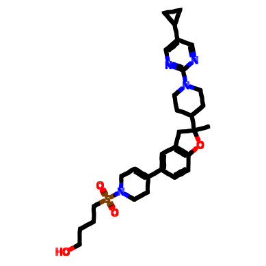 CC1(C2CCN(c3ncc(C4CC4)cn3)CC2)Cc2cc(C3=CCN(S(=O)(=O)CCCCO)CC3)ccc2O1